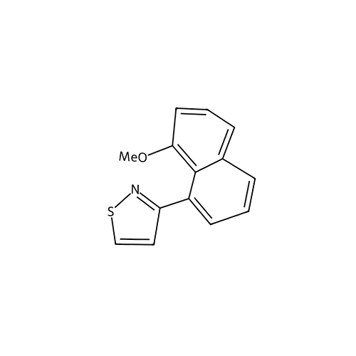 COc1cccc2cccc(-c3ccsn3)c12